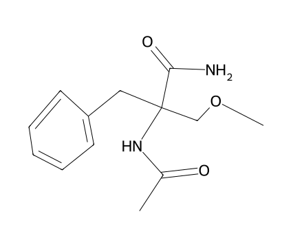 COCC(Cc1ccccc1)(NC(C)=O)C(N)=O